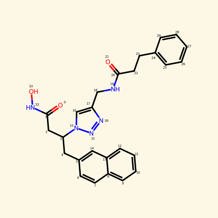 O=C(CC(Cc1ccc2ccccc2c1)n1cc(CNC(=O)CCc2ccccc2)nn1)NO